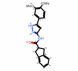 COc1ccc(-c2cc(NC(=O)C3Cc4ccccc4C3)n[nH]2)cc1OC